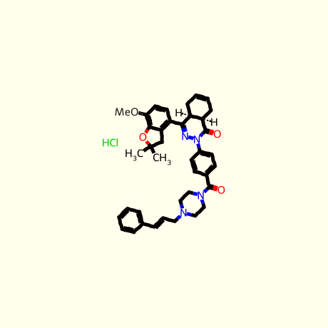 COc1ccc(C2=NN(c3ccc(C(=O)N4CCN(CC=Cc5ccccc5)CC4)cc3)C(=O)[C@@H]3CC=CC[C@H]23)c2c1OC(C)(C)C2.Cl